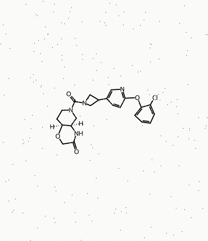 O=C1CO[C@H]2CCN(C(=O)N3CC(c4ccc(Oc5ccccc5Cl)nc4)C3)C[C@H]2N1